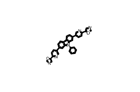 c1ccc(-n2c3cc(-c4ccc(-c5cnco5)nc4)ccc3c3ccc(-c4ccc(-c5cnco5)nc4)cc32)cc1